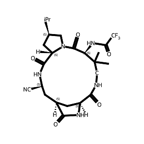 CC(C)[C@@H]1C[C@H]2C(=O)N[C@H](C#N)C[C@H]3C[C@H](NC3=O)C(=O)NCC(C)(C)[C@H](NC(=O)C(F)(F)F)C(=O)N2C1